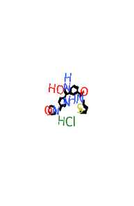 Cl.O=C(NCc1cccs1)c1ccc2[nH]c(O)c(-c3ccc(CN4CCOCC4)cn3)c2c1